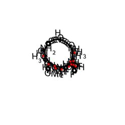 COc1ccc(C[C@@H]2NC(=O)[C@H]([C@H](C)O)NC(=O)[C@@H]3C[C@H](F)CN3C(=O)[C@H](Cc3c[nH]c4ccc(F)cc34)NC(=O)[C@H](Cc3c[nH]c4ccc(F)cc34)NC(=O)[C@@H](C)NC(=O)CCCCC(=O)NCCOc3ccc(cc3)C[C@@H](C(N)=O)NC(=O)[C@]3(C)CCCN3C2=O)cc1